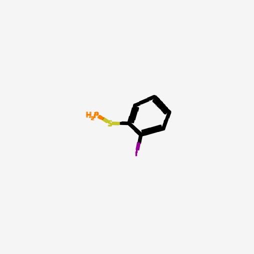 PSc1ccccc1I